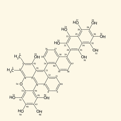 Cc1c(C)c2c3c(c4ccccc4c(-c4cccc5c(-c6c(O)c(O)c7c(O)c(O)c(O)c(O)c7c6O)cccc45)c3c1O)-c1c(O)c(O)c(O)c(O)c1O2